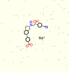 N#Cc1ccc([C@@H](O)CN[C@H]2CCc3ccc(-c4ccc(C(=O)[O-])cc4)cc3C2)cc1.[Na+]